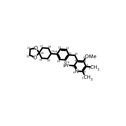 COc1c(C)c(C)nc(C(C)C)c1Cc1ccc(C2CCC3(CC2)OCCO3)cc1